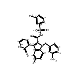 Nc1cc(Cn2c(C(=O)NS(=O)(=O)c3cccc(Cl)c3)c(-c3ccc[nH]c3=O)c3cc(Cl)ccc32)ccn1